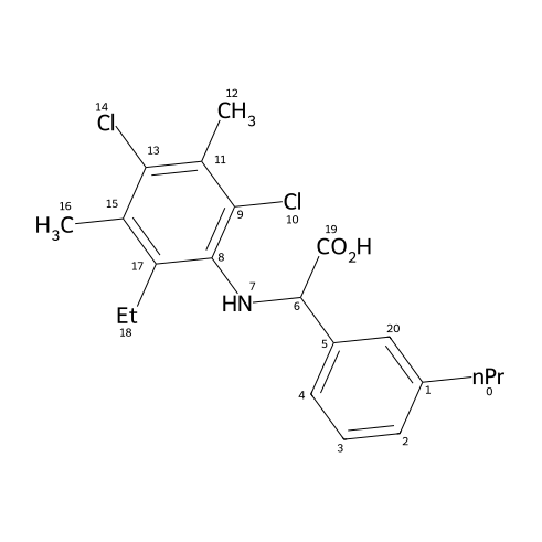 CCCc1cccc(C(Nc2c(Cl)c(C)c(Cl)c(C)c2CC)C(=O)O)c1